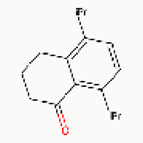 CC(C)c1ccc(C(C)C)c2c1CCCC2=O